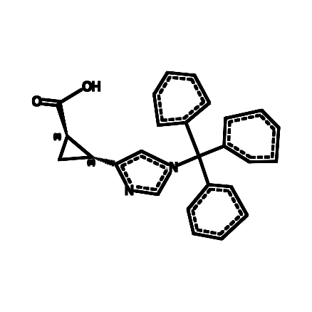 O=C(O)[C@@H]1C[C@H]1c1cn(C(c2ccccc2)(c2ccccc2)c2ccccc2)cn1